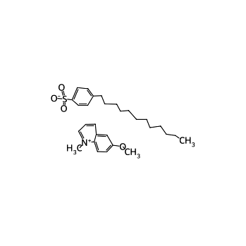 CCCCCCCCCCCCc1ccc(S(=O)(=O)[O-])cc1.COc1ccc2c(ccc[n+]2C)c1